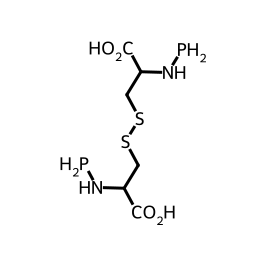 O=C(O)C(CSSCC(NP)C(=O)O)NP